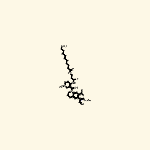 CCC(CCNC(=O)CCCCCCCCCC(=O)O)NC1=C(C(=N)N2CCCc3cc(/C(C=N)=C/NC)c(C(F)F)cc32)CN(C(C)=O)CC1